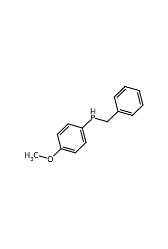 COc1ccc(PCc2ccccc2)cc1